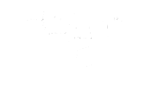 NC1CCC(N)(C2CCOCC2)CC1.O=C(O)C(F)(F)F.O=C(O)C(F)(F)F